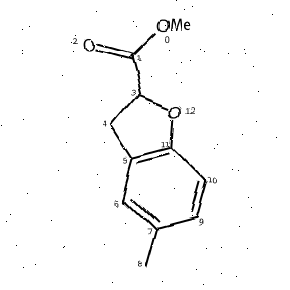 COC(=O)C1Cc2cc(C)ccc2O1